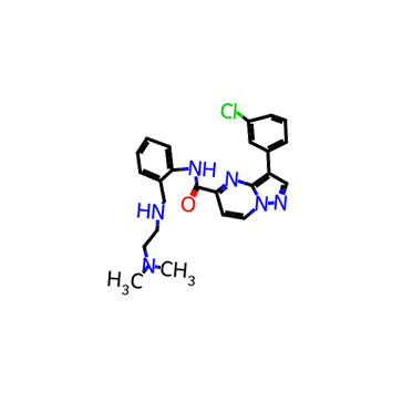 CN(C)CCNCc1ccccc1NC(=O)c1ccn2ncc(-c3cccc(Cl)c3)c2n1